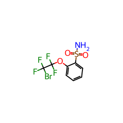 NS(=O)(=O)c1ccccc1OC(F)(F)C(F)(F)Br